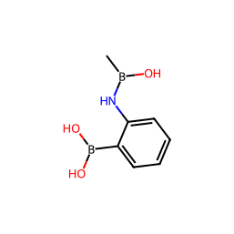 CB(O)Nc1ccccc1B(O)O